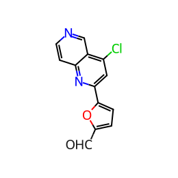 O=Cc1ccc(-c2cc(Cl)c3cnccc3n2)o1